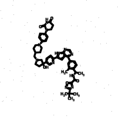 Cc1cc(-c2ncnc3[nH]c(-c4ccc(C5(O)CCN(CC6CCN(c7ccc(N8CCC(=O)NC8=O)cc7)CC6)C5)cn4)cc23)ccc1C(C)NC(=O)c1nc(C(C)(C)C)no1